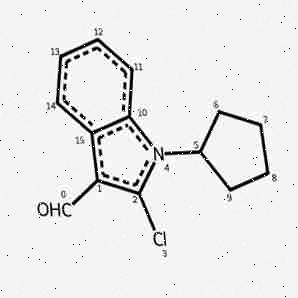 O=Cc1c(Cl)n(C2CCCC2)c2ccccc12